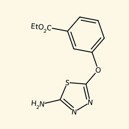 CCOC(=O)c1cccc(Oc2nnc(N)s2)c1